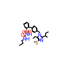 CCCNC(=O)NS(=O)(=O)c1ccccc1-c1ccc(Cn2c(C(C)CC)nc(SC)c2CC)cc1